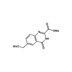 COCc1ccc2nc(C(=O)OC)[nH]c(=O)c2c1